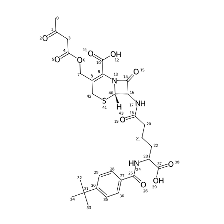 CC(=O)CC(=O)OCC1=C(C(=O)O)N2C(=O)C(NC(=O)CCCC(NC(=O)c3ccc(C(C)(C)C)cc3)C(=O)O)[C@@H]2SC1